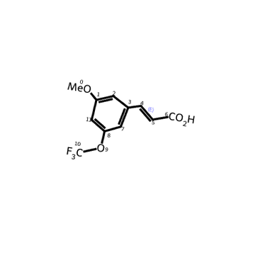 COc1cc(/C=C/C(=O)O)cc(OC(F)(F)F)c1